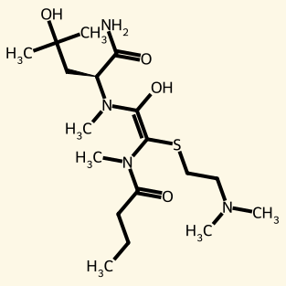 CCCC(=O)N(C)/C(SCCN(C)C)=C(/O)N(C)[C@@H](CC(C)(C)O)C(N)=O